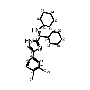 Fc1ccc(-c2c[nH]c(C(NC3CCCCC3)C3CCCCC3)n2)cc1F